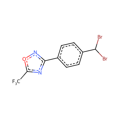 FC(F)(F)c1nc(-c2ccc(C(Br)Br)cc2)no1